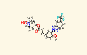 COc1ccc(CCC(=O)OC2CC(C)(C)N(O)C(C)(C)C2)cc1-n1nc2ccc(C(F)(F)F)cc2n1